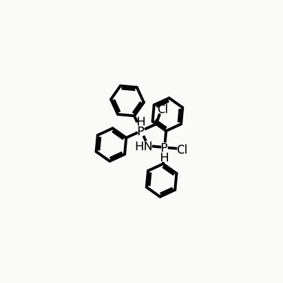 ClC[PH](N[PH](Cl)(c1ccccc1)c1ccccc1)(c1ccccc1)c1ccccc1